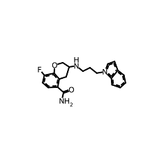 NC(=O)c1ccc(F)c2c1CC(NCCCn1ccc3ccccc31)CO2